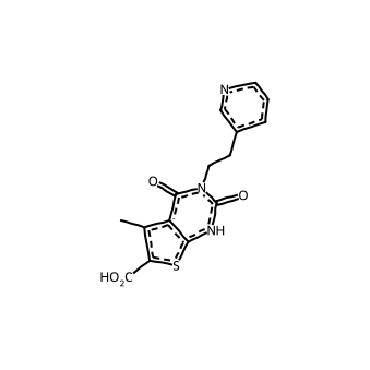 Cc1c(C(=O)O)sc2[nH]c(=O)n(CCc3cccnc3)c(=O)c12